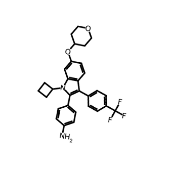 Nc1ccc(-c2c(-c3ccc(C(F)(F)F)cc3)c3ccc(OC4CCOCC4)cc3n2C2CCC2)cc1